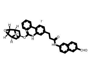 C[N+]1(C)[C@@H]2C[C@@H](OC(=O)Nc3cc(CCC(=O)Nc4ccc5cc(C=O)ccc5c4)ccc3-c3ccccc3)C[C@H]1[C@@H]1O[C@@H]12.[I-]